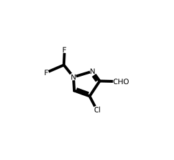 O=Cc1nn(C(F)F)cc1Cl